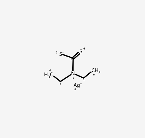 CCN(CC)C(=S)[S-].[Ag+]